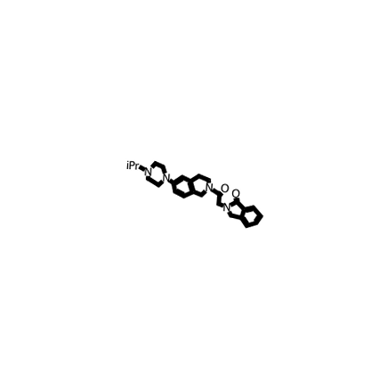 CC(C)N1CCN(c2ccc3c(c2)CCN(C(=O)CN2Cc4ccccc4C2=O)C3)CC1